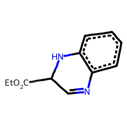 CCOC(=O)C1C=Nc2ccccc2N1